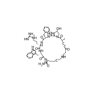 C[C@H]1CCC(=O)CCNCCCC[C@@H](C(N)=O)NC(=O)[C@H](Cc2c[nH]c3ccccc23)NC(=O)[C@H](CCCNC(=N)N)NC(=O)[C@@H](Cc2ccccc2)NC(=O)[C@@H]2C[C@@H](O)CN2C1=O